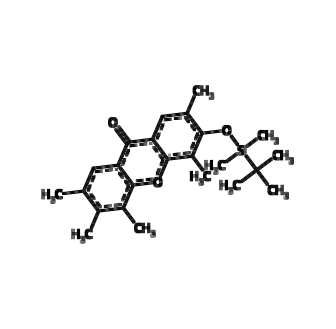 Cc1cc2c(=O)c3cc(C)c(O[Si](C)(C)C(C)(C)C)c(C)c3oc2c(C)c1C